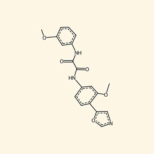 COc1cccc(NC(=O)C(=O)Nc2ccc(-c3cnco3)c(OC)c2)c1